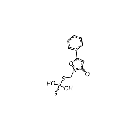 O=c1cc(-c2ccccc2)on1CSP(O)(O)=S